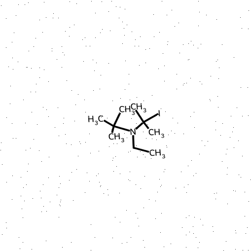 CCN(C(C)(C)C)C(C)(C)I